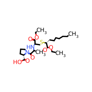 CCCCCCC[C@@H](SCC(NC(C)C(=O)N1CCC[C@H]1C(=O)O)C(=O)OCC)C(=O)OCC